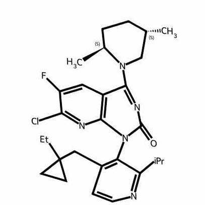 CCC1(Cc2ccnc(C(C)C)c2-n2c(=O)nc(N3C[C@@H](C)CC[C@@H]3C)c3cc(F)c(Cl)nc32)CC1